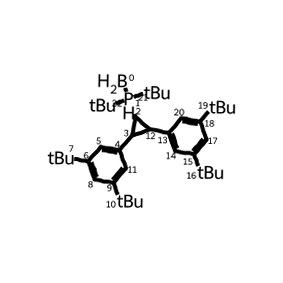 B[PH](C1C(c2cc(C(C)(C)C)cc(C(C)(C)C)c2)C1c1cc(C(C)(C)C)cc(C(C)(C)C)c1)(C(C)(C)C)C(C)(C)C